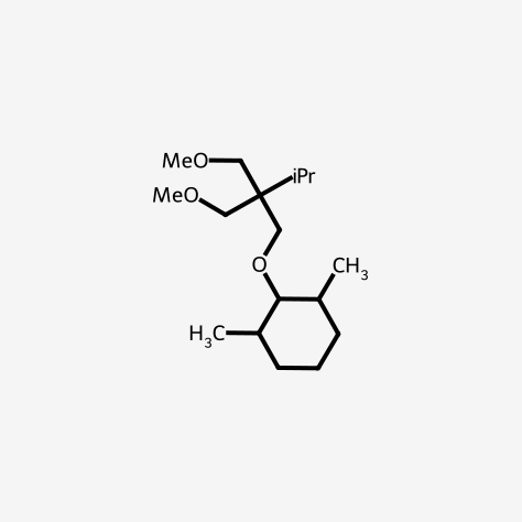 COCC(COC)(COC1C(C)CCCC1C)C(C)C